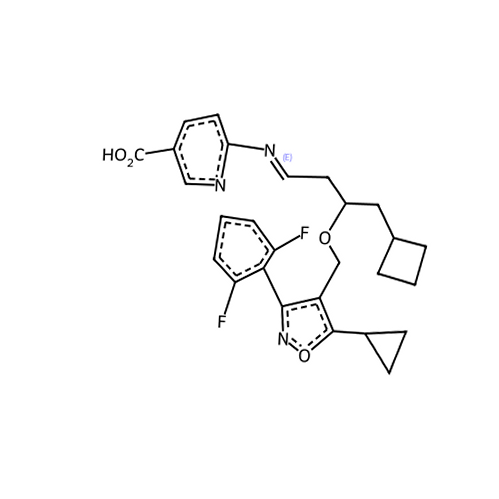 O=C(O)c1ccc(/N=C/CC(CC2CCC2)OCc2c(-c3c(F)cccc3F)noc2C2CC2)nc1